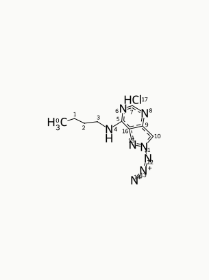 CCCCNc1ncnc2cn(N=[N+]=[N-])nc12.Cl